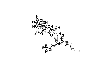 COP(=O)(O[C@H]1O[C@@H](n2cnc3c(NCCSC)nc(SCCC(F)(F)F)nc32)[C@H](O)[C@@H]1O)OP(=O)(O)C(Cl)(Cl)P(=O)(O)O